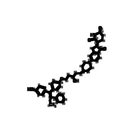 CCC(=C(c1ccc(O)cc1)c1ccc(OCCC(O)CCN2CCN(c3ccc4c(c3)CN(C3CCC(=O)NC3=O)C4=O)CC2)cc1)c1ccccc1